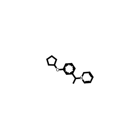 CC(c1cccc(OC2CCCC2)c1)N1C=CC=CC1